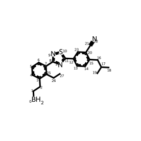 BCCc1cccc(-c2nsc(-c3ccc(CC(C)C)c(C#N)c3)n2)c1CC